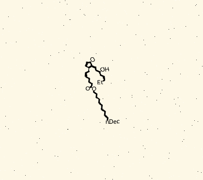 CC/C=C\C[C@H](O)C/C=C1/C(=O)C=C[C@@H]1C/C=C\CCCC(=O)OCCCCCCCCCCCCCCCCCCCC